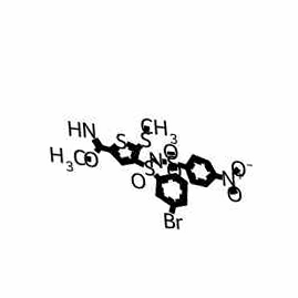 COC(=N)c1cc(S(=O)(=NS(=O)(=O)c2ccc([N+](=O)[O-])cc2)c2cccc(Br)c2)c(SC)s1